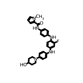 Cn1cccc1C(=O)Nc1ccc(Nc2ccc(Nc3ccc(N4CCC(O)CC4)cc3)cc2F)cc1